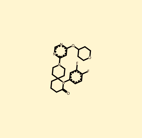 O=C1CCCC2(CCN(c3cc(OC4CCOCC4)ncn3)CC2)N1c1ccc(F)c(F)c1